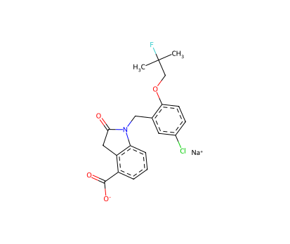 CC(C)(F)COc1ccc(Cl)cc1CN1C(=O)Cc2c(C(=O)[O-])cccc21.[Na+]